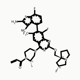 C=CC(=O)N1CCN(c2nc(OC[C@@]34CCCN3C[C@H](F)C4)nc3c(F)c(-c4ccc(F)c5sc(N)c(C#N)c45)c(C(F)(F)F)cc23)C[C@@H]1C